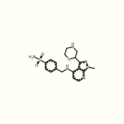 Cn1nc(C2CNCCO2)c2c(NCc3ccc(S(N)(=O)=O)cc3)ccnc21